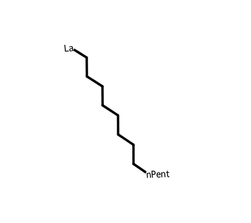 CCCCCCCCCCCC[CH2][La]